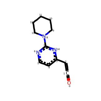 O=C=Cc1ccnc(N2CCCCC2)n1